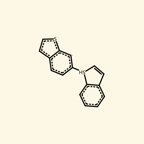 [c]1c([SH]2C=Cc3ccccc32)ccc2ccsc12